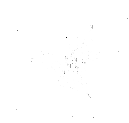 N#Cc1cccc(-c2cccc(-c3nc(-c4cc(-c5cccc(C#N)c5)ccc4-n4c5ccccc5c5ccccc54)nc(-c4cc(-c5cccc(C#N)c5)ccc4-n4c5ccccc5c5ccccc54)n3)c2)c1